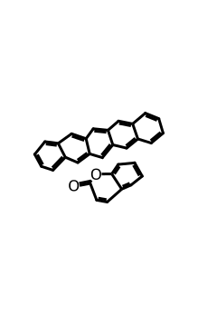 O=c1ccc2ccccc2o1.c1ccc2cc3cc4cc5ccccc5cc4cc3cc2c1